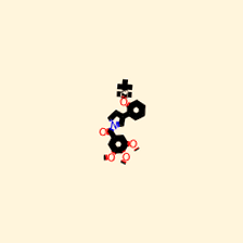 COc1cc(C(=O)N2C[CH]C(c3ccccc3O[Si](C)(C)C(C)(C)C)C2)cc(OC)c1OC